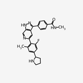 CNC(=O)c1ccc(-c2n[nH]c3cnc(-c4c(C)cc(C5CCCN5)cc4F)cc23)cc1